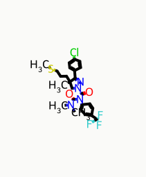 CSCCCC1(C)CN(C(=O)N(C(=O)N(C)C)c2ccc(C(F)(F)F)cc2)N=C1c1ccc(Cl)cc1